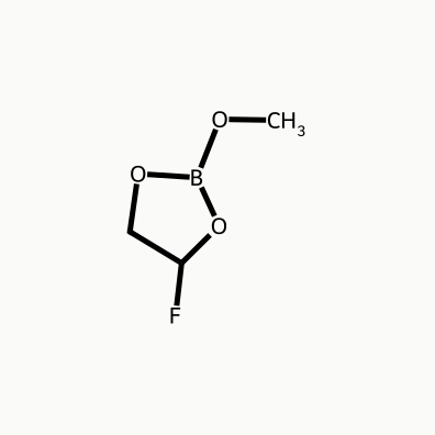 COB1OCC(F)O1